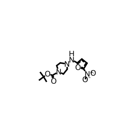 CC(C)(C)OC(=O)N1CCN(Nc2ccc([N+](=O)[O-])o2)CC1